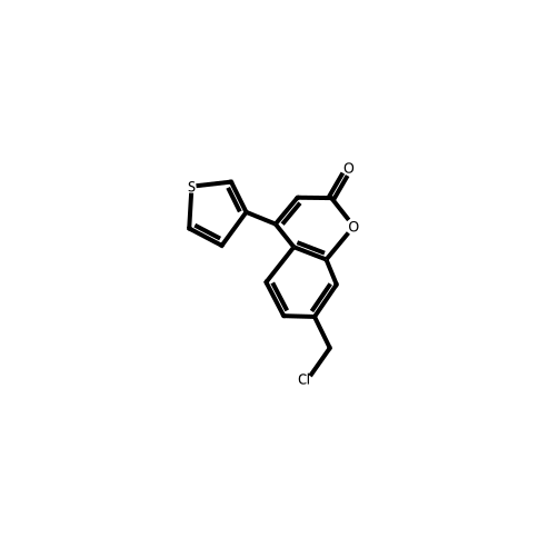 O=c1cc(-c2ccsc2)c2ccc(CCl)cc2o1